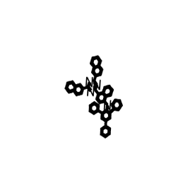 c1ccc(-c2cc(-c3ccccc3)c3c(c2)c2ccccc2n3-c2ccc(-c3nc(-c4ccc5ccccc5c4)nc(-c4ccc5ccccc5c4)n3)c3ccccc23)cc1